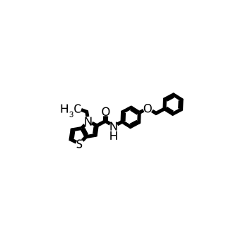 CCn1c(C(=O)Nc2ccc(OCc3ccccc3)cc2)cc2sccc21